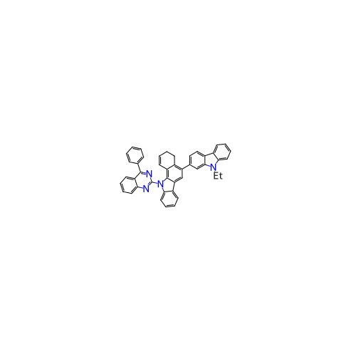 CCn1c2ccccc2c2ccc(-c3cc4c5ccccc5n(-c5nc(-c6ccccc6)c6ccccc6n5)c4c4c3CCC=C4)cc21